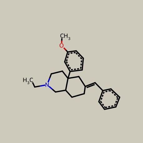 CCN1CCC2(c3cccc(OC)c3)C/C(=C/c3ccccc3)CCC2C1